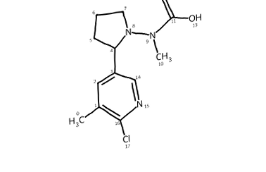 Cc1cc(C2CCCN2N(C)C(=O)O)cnc1Cl